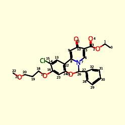 CCOC(=O)c1cn2c(cc1=O)-c1cc(Cl)c(OCCCOC)cc1OC2c1ccccc1